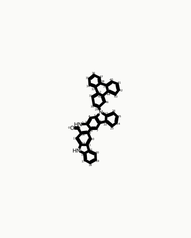 O=c1[nH]c2cc3c(cc2c2cc4c(cc12)[nH]c1ccccc14)c1ccccc1n3-c1ccc2c3ccccc3c3ccccc3c2c1